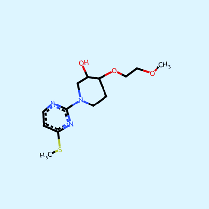 COCCOC1CCN(c2nccc(SC)n2)CC1O